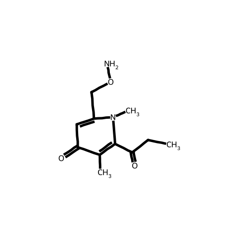 CCC(=O)c1c(C)c(=O)cc(CON)n1C